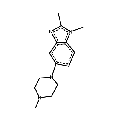 CN1CCN(c2ccc3c(c2)nc(I)n3C)CC1